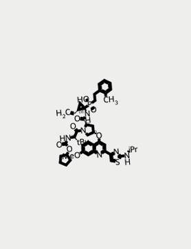 C=C[C@@H]1C[C@]1(NC(=O)[C@@H]1C[C@@H](Oc2cc(-c3csc(NC(C)C)n3)nc3cc(OC)ccc23)CN1C(=O)[C@@H](NC(=O)OC1CCCC1)C(C)(C)C)P(=O)(O)CCc1ccccc1C